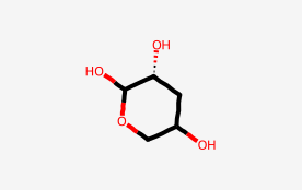 OC1COC(O)[C@H](O)C1